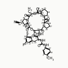 Cc1ccc(NC(=O)N[C@@H](Cc2cc(F)cc(F)c2)C(=O)NC2C(=O)N3CCC[C@H]3C(=O)N3CCCC[C@H]3C(=O)N[C@@H](C)C(=O)N3C[C@H](C#N)C[C@H]3C(=O)O[C@H]2C)cc1